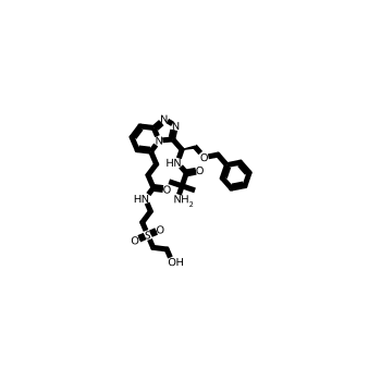 CC(C)(N)C(=O)N[C@H](COCc1ccccc1)c1nnc2cccc(CCC(=O)NCCS(=O)(=O)CCO)n12